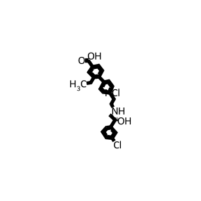 CCc1cc(C(=O)O)ccc1-c1ccc(CCNC[C@H](O)c2cccc(Cl)c2)cc1.Cl